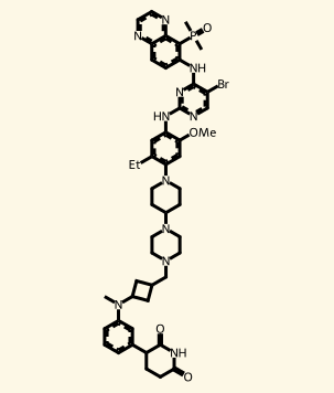 CCc1cc(Nc2ncc(Br)c(Nc3ccc4nccnc4c3P(C)(C)=O)n2)c(OC)cc1N1CCC(N2CCN(CC3CC(N(C)c4cccc(C5CCC(=O)NC5=O)c4)C3)CC2)CC1